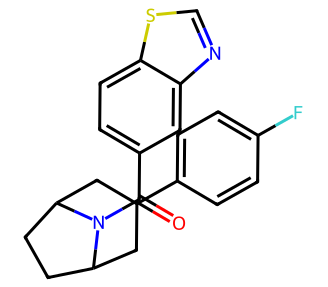 O=C(c1ccc2scnc2c1)N1C2CCC1CC(c1ccc(F)cc1)C2